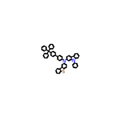 c1ccc(-n2c3ccccc3c3ccc(N(c4ccc(-c5ccc(C(c6ccccc6)(c6ccccc6)c6ccccc6)cc5)cc4)c4ccc5sc6ccccc6c5c4)cc32)cc1